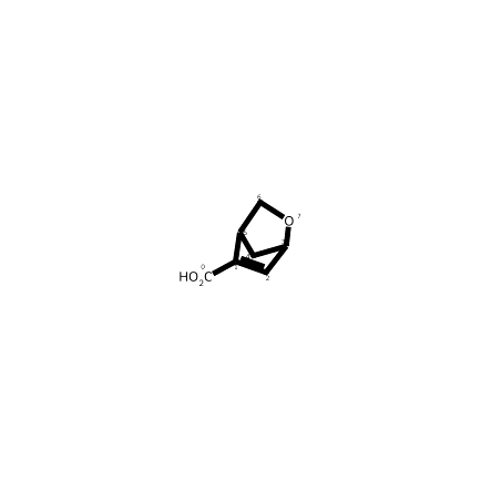 O=C(O)C1=CC2CC1CO2